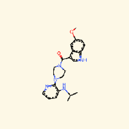 COc1ccc2[nH]cc(C(=O)N3CCN(c4ncccc4NC(C)C)CC3)c2c1